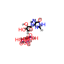 COC1[C@@H](O)[C@@H](COP(=O)(O)OP(=O)(O)OP(=O)(O)O)O[C@H]1n1cnc2c(=O)[nH]c(C)nc21